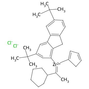 C/[C](C1CCCCC1)=[Zr+2](\[C]1=CC=CC1)[c]1cc(C(C)(C)C)cc2c1Cc1ccc(C(C)(C)C)cc1-2.[Cl-].[Cl-]